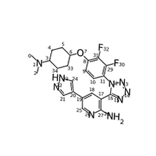 CN(C)C1CCC(Oc2ccc(-n3nnnc3-c3cc(-c4cn[nH]c4)cnc3N)c(F)c2F)CC1